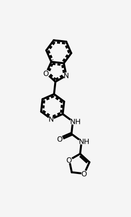 O=C(NC1=COCO1)Nc1cc(-c2nc3ccccc3o2)ccn1